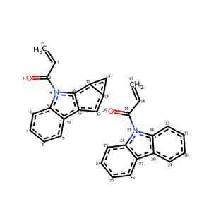 C=CC(=O)n1c2ccccc2c2cc3cc-3c21.C=CC(=O)n1c2ccccc2c2ccccc21